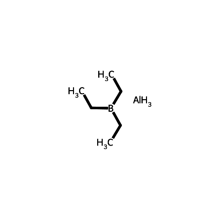 CCB(CC)CC.[AlH3]